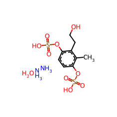 Cc1c(OS(=O)(=O)O)ccc(OS(=O)(=O)O)c1CCO.N.N.O